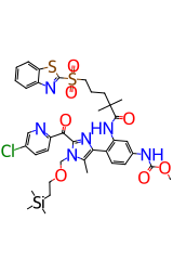 COC(=O)Nc1ccc(-c2nc(C(=O)c3ccc(Cl)cn3)n(COCC[Si](C)(C)C)c2C)c(NC(=O)C(C)(C)CCCS(=O)(=O)c2nc3ccccc3s2)c1